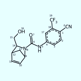 N#Cc1ccc(NC(=O)N2C3C=CC(C3)C2CO)cc1C(F)(F)F